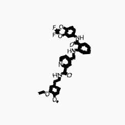 CCOc1cc(CCNC(=O)c2cc(CNc3ccccc3C(=O)Nc3ccc4c(c3)OC(F)(F)O4)ccn2)ccc1OC